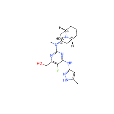 Cc1cc(Nc2nc(N(C)[C@@H]3C[C@H]4CCC[C@@H](C3)N4C(=O)O)nc(CO)c2F)n[nH]1